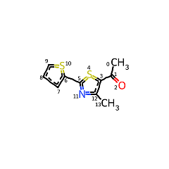 CC(=O)c1sc(-c2cccs2)nc1C